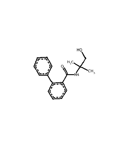 CC(C)(CO)NC(=O)c1ccccc1-c1ccccc1